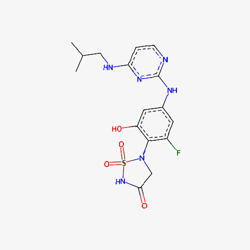 CC(C)CNc1ccnc(Nc2cc(O)c(N3CC(=O)NS3(=O)=O)c(F)c2)n1